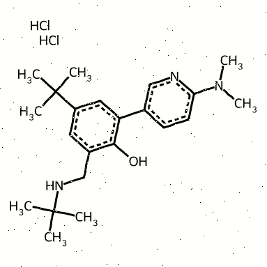 CN(C)c1ccc(-c2cc(C(C)(C)C)cc(CNC(C)(C)C)c2O)cn1.Cl.Cl